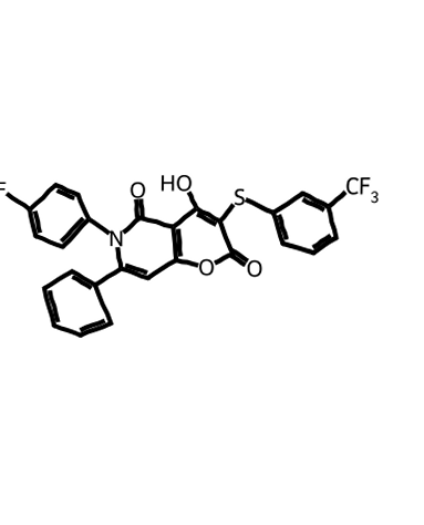 O=c1oc2cc(-c3ccccc3)n(-c3ccc(F)cc3)c(=O)c2c(O)c1Sc1cccc(C(F)(F)F)c1